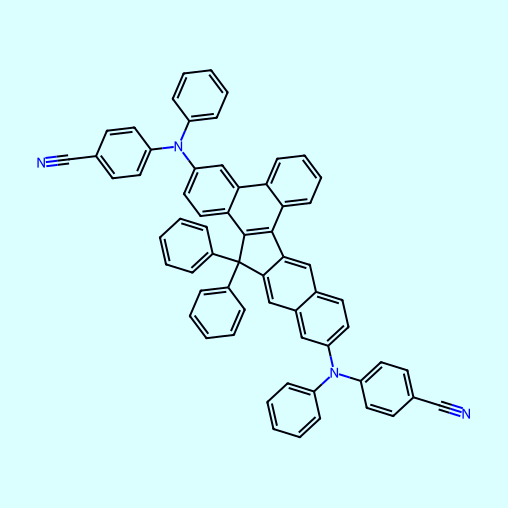 N#Cc1ccc(N(c2ccccc2)c2ccc3cc4c(cc3c2)C(c2ccccc2)(c2ccccc2)c2c-4c3ccccc3c3cc(N(c4ccccc4)c4ccc(C#N)cc4)ccc23)cc1